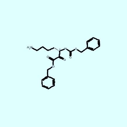 NCCCC[C@H]([N]C(=O)OCc1ccccc1)C(=O)C(=O)OCc1ccccc1